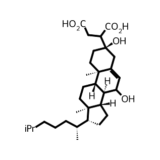 CC(C)CCC[C@@H](C)[C@H]1CC[C@H]2[C@@H]3C(O)C=C4C[C@@](O)(C(CC(=O)O)C(=O)O)CC[C@]4(C)[C@H]3CC[C@]12C